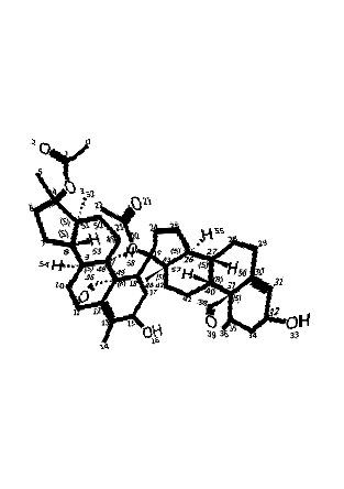 CC(=O)OC1(C)CC[C@H]2[C@@H]3CCC4=C(C)C(O)CC(C5(OC(C)=O)CC[C@H]6[C@@H]7CCC8=CC(O)CC(C)[C@]8(C=O)[C@@H]7CC[C@@]65C)[C@]4(C=O)[C@@H]3CC[C@@]21C